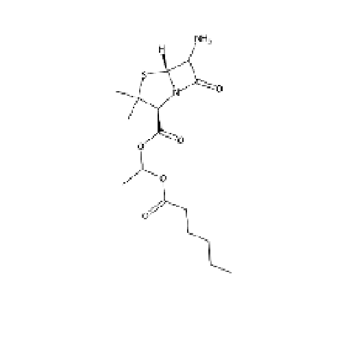 CCCCCC(=O)OC(C)OC(=O)[C@@H]1N2C(=O)C(N)[C@H]2SC1(C)C